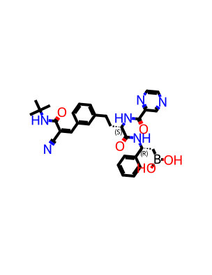 CC(C)(C)NC(=O)C(C#N)=Cc1cccc(CC[C@H](NC(=O)c2cnccn2)C(=O)N[C@H](CB(O)O)c2ccccc2)c1